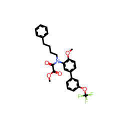 COC(=O)C(=O)N(CCCCc1ccccc1)c1cc(-c2cccc(OC(F)(F)F)c2)ccc1OC